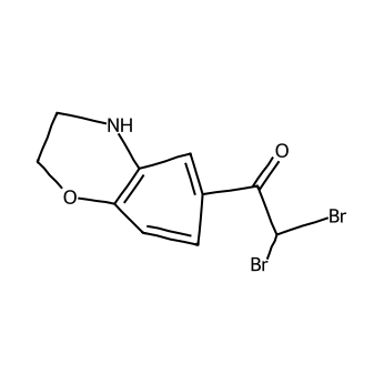 O=C(c1ccc2c(c1)NCCO2)C(Br)Br